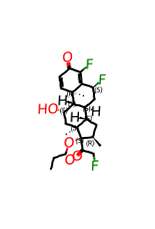 CCC(=O)O[C@@]1(C(=O)CF)[C@H](C)C[C@H]2[C@@H]3C[C@H](F)C4=C(F)C(=O)C=C[C@]4(C)[C@H]3[C@@H](O)C[C@@]21C